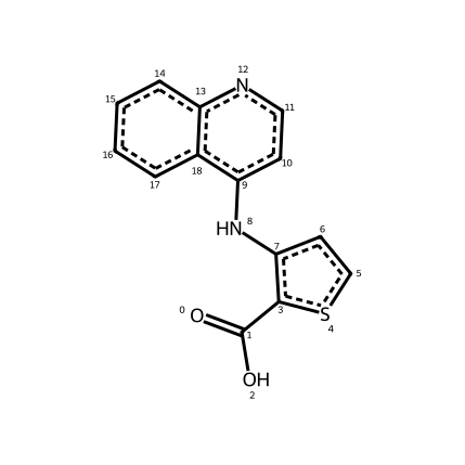 O=C(O)c1sccc1Nc1ccnc2ccccc12